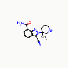 CC1(n2nc3c(C(N)=O)cccc3c2C#N)CCCNC1